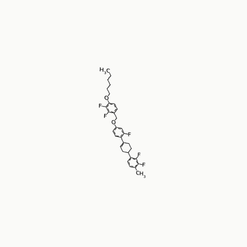 CCCCCCOc1ccc(COc2ccc(C3=CCC(c4ccc(C)c(F)c4F)CC3)c(F)c2)c(F)c1F